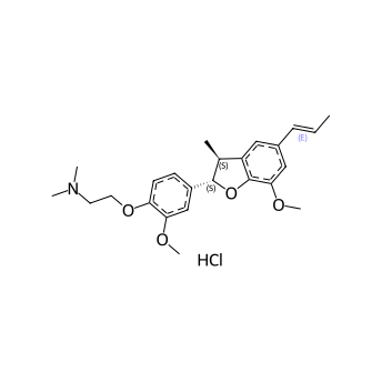 C/C=C/c1cc(OC)c2c(c1)[C@H](C)[C@@H](c1ccc(OCCN(C)C)c(OC)c1)O2.Cl